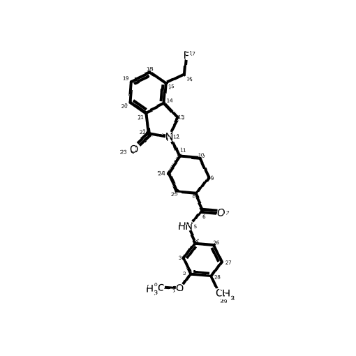 COc1cc(NC(=O)C2CCC(N3Cc4c(CF)cccc4C3=O)CC2)ccc1C